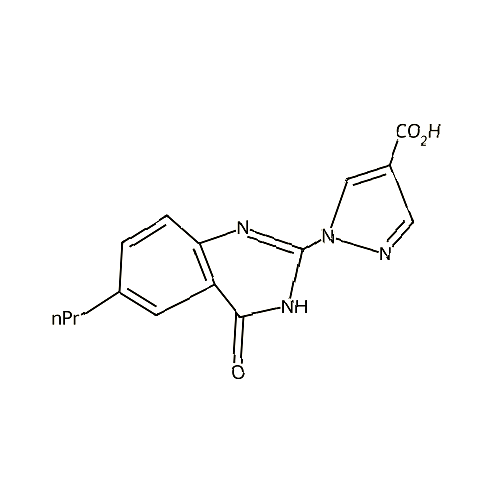 CCCc1ccc2nc(-n3cc(C(=O)O)cn3)[nH]c(=O)c2c1